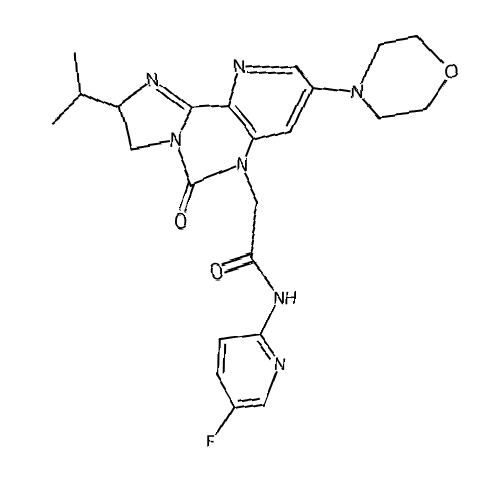 CC(C)C1CN2C(=O)N(CC(=O)Nc3ccc(F)cn3)c3cc(N4CCOCC4)cnc3C2=N1